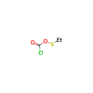 CCSOC(=O)Cl